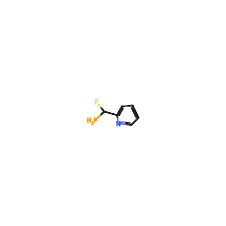 FC(P)c1ccccn1